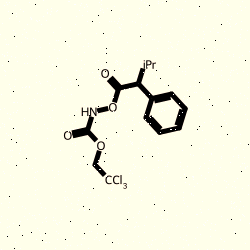 CC(C)C(C(=O)ONC(=O)OCC(Cl)(Cl)Cl)c1ccccc1